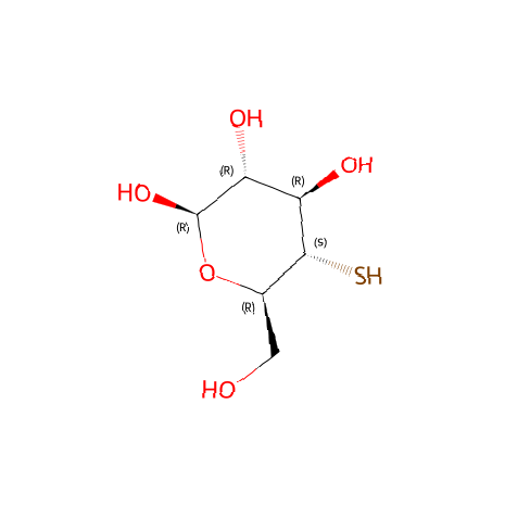 OC[C@H]1O[C@@H](O)[C@H](O)[C@@H](O)[C@@H]1S